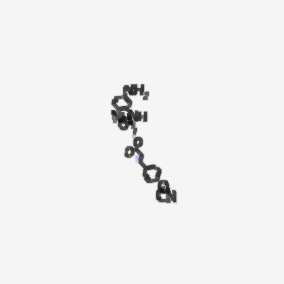 N#COc1ccc(/C=C/C(=O)OCCC(=O)Nc2cc(N)ccc2N)cc1